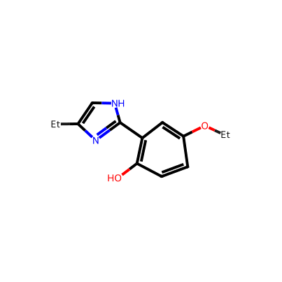 CCOc1ccc(O)c(-c2nc(CC)c[nH]2)c1